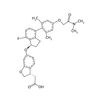 Cc1cc(OCC(=O)N(C)C)cc(C)c1-c1ccc(F)c2c1CC[C@H]2Oc1ccc2c(c1)OC[C@H]2CC(=O)O